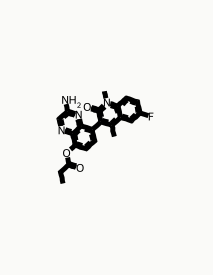 CCC(=O)Oc1ccc(-c2c(C)c3cc(F)ccc3n(C)c2=O)c2nc(N)cnc12